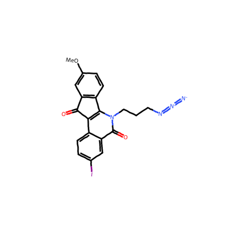 COc1ccc2c(c1)C(=O)c1c-2n(CCCN=[N+]=[N-])c(=O)c2cc(I)ccc12